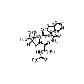 CC(C)(C)C(NC(=O)C(F)(F)F)C(=O)N1C[C@H]2[C@@H]([C@H]1C(=O)NC1(C(N)=O)CCc3ccncc31)C2(C)C